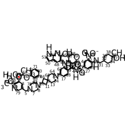 COc1cc(CN2CCN(C3CC4(CCN(c5ccc(C(=O)NS(=O)(=O)c6ccc(NCC7CCC(C)(O)CC7)c([N+](=O)[O-])c6)c(N6c7cc8cc[nH]c8nc7O[C@H]7COCC[C@@H]76)c5)CC4)C3)[C@@H](c3ccccc3OC(C)C)C2)cnc1OC